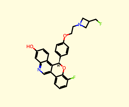 Oc1ccc2c3c(cnc2c1)-c1cccc(F)c1O[C@@H]3c1ccc(OCCN2CC(CF)C2)cc1